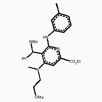 CCOC(=O)c1cc(N(C)CCOC)c(C(NC)C(C)C)c(Nc2cccc(C)c2)n1